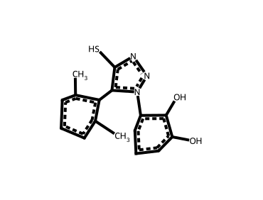 Cc1cccc(C)c1-c1c(S)nnn1-c1cccc(O)c1O